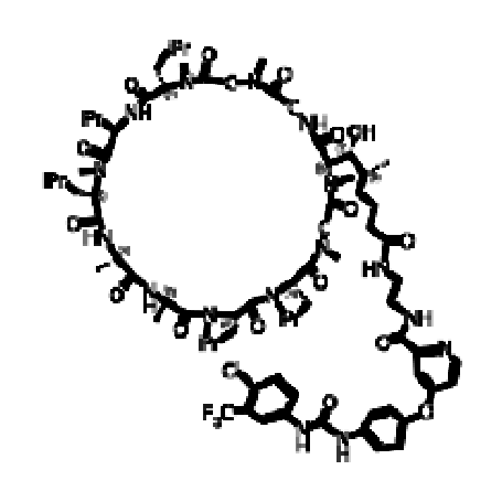 CC(C)C[C@H]1C(=O)NC(C(C)C)C(=O)N(C)[C@@H](CC(C)C)C(=O)N[C@@H](C)C(=O)N[C@H](C)C(=O)N(C)[C@@H](CC(C)C)C(=O)N(C)[C@@H](CC(C)C)C(=O)N(C)CC(=O)N(C)[C@@H]([C@H](O)[C@H](C)CCCC(=O)NCCNC(=O)c2cc(Oc3ccc(NC(=O)Nc4ccc(Cl)c(C(F)(F)F)c4)cc3)ccn2)C(=O)NCC(=O)N(C)CC(=O)N1C